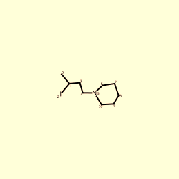 CC(I)CCN1CCCCC1